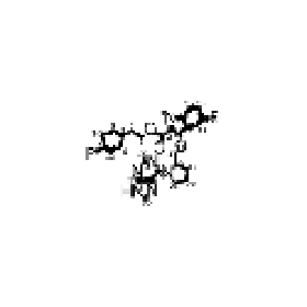 Cn1c(C(=O)OCCc2ccc(F)cc2)c(OCC2CCCN2c2ncnc3[nH]cnc23)c2cc(F)ccc21